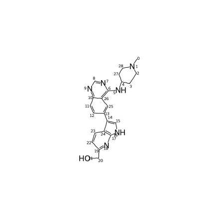 CN1CCC(Nc2ncnc3ccc(-c4c[nH]c5nc(CO)ccc45)cc23)CC1